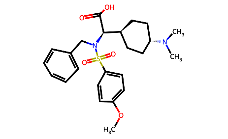 COc1ccc(S(=O)(=O)N(Cc2ccccc2)[C@@H](C(=O)O)[C@H]2CC[C@H](N(C)C)CC2)cc1